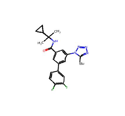 CC(C)(C)c1nnnn1-c1cc(C(=O)NC(C)(C)C2CC2)cc(-c2ccc(F)c(F)c2)c1